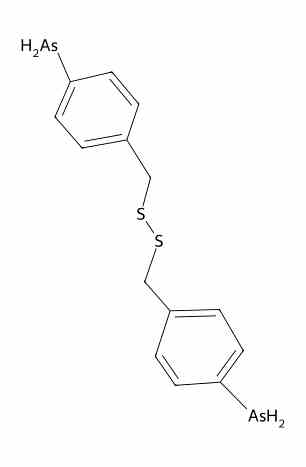 [AsH2]c1ccc(CSSCc2ccc([AsH2])cc2)cc1